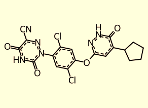 N#Cc1nn(-c2cc(Cl)c(Oc3cc(C4CCCC4)c(=O)[nH]n3)cc2Cl)c(=O)[nH]c1=O